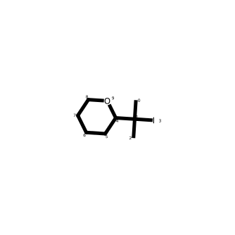 CC(C)(I)C1CCCCO1